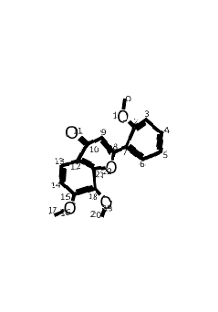 COc1ccccc1-c1cc(=O)c2ccc(OC)c(OC)c2o1